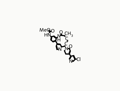 COC(=O)Nc1ccc2c(c1)NC(=O)[C@H](C)CCC[C@H](N1CCC(c3cncc(Cl)c3)=CC1=O)c1cc-2ccn1